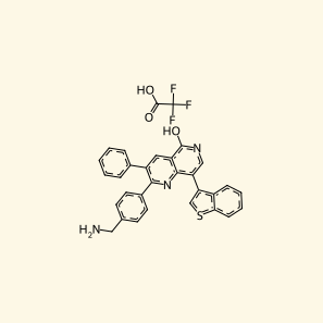 NCc1ccc(-c2nc3c(-c4csc5ccccc45)cnc(O)c3cc2-c2ccccc2)cc1.O=C(O)C(F)(F)F